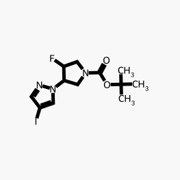 CC(C)(C)OC(=O)N1CC(F)C(n2cc(I)cn2)C1